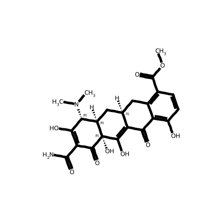 COC(=O)c1ccc(O)c2c1C[C@@H]1C[C@@H]3[C@@H](N(C)C)C(O)=C(C(N)=O)C(=O)[C@]3(O)C(O)=C1C2=O